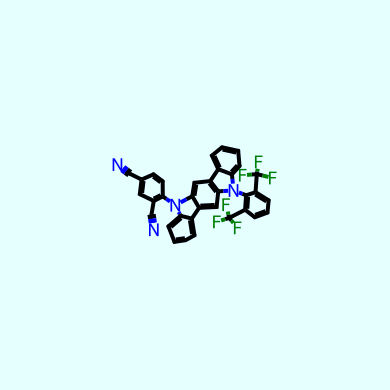 N#Cc1ccc(-n2c3ccccc3c3cc4c(cc32)c2ccccc2n4-c2c(C(F)(F)F)cccc2C(F)(F)F)c(C#N)c1